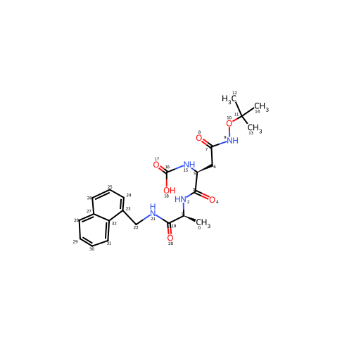 C[C@H](NC(=O)[C@H](CC(=O)NOC(C)(C)C)NC(=O)O)C(=O)NCc1cccc2ccccc12